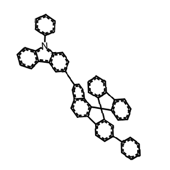 c1ccc(-c2ccc3c(c2)C2(c4ccccc4-c4ccccc42)c2c-3ccc3cc(-c4ccc5c(c4)c4ccccc4n5-c4ccccc4)ccc23)cc1